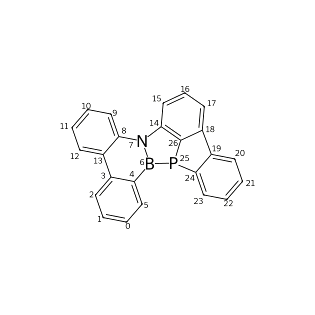 c1ccc2c(c1)B1N(c3ccccc3-2)c2cccc3c4ccccc4p1c23